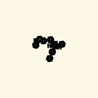 c1ccc(C2=NC(c3cccc(-c4ccc5c(ccc6sc7ccccc7c65)c4)c3)NC(c3ccc(-c4ccccc4)cc3)N2)cc1